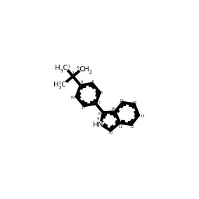 CC(C)(C)c1ccc(-c2[nH]cc3ccccc23)cc1